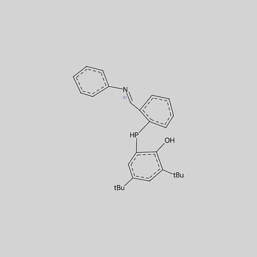 CC(C)(C)c1cc(Pc2ccccc2/C=N/c2ccccc2)c(O)c(C(C)(C)C)c1